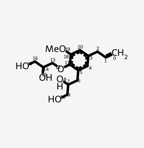 C=CCc1cc(CC(O)CO)c(OCC(O)CO)c(OC)c1